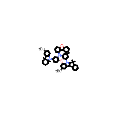 Cc1cc2c3c(c1)-n1c4c(c5cc(C(C)(C)C)cc(c51)B3c1ccc(N3c5ccc(C(C)(C)C)cc5C5(C)CCCCC35C)cc1N2c1cccc2oc3ccccc3c12)-c1ccccc1C4(C)C